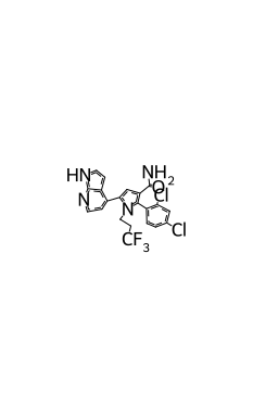 NC(=O)c1cc(-c2ccnc3[nH]ccc23)n(CCC(F)(F)F)c1-c1ccc(Cl)cc1Cl